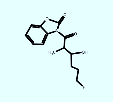 CC(C(=O)n1c(=O)oc2ccccc21)C(O)CCCF